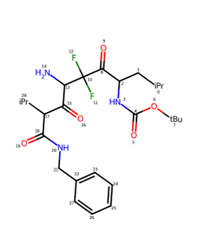 CC(C)CC(NC(=O)OC(C)(C)C)C(=O)C(F)(F)C(N)C(=O)C(C(=O)NCc1ccccc1)C(C)C